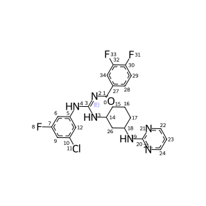 O=C(/N=C(/Nc1cc(F)cc(Cl)c1)NC1CCCC(Nc2ncccn2)C1)c1ccc(F)c(F)c1